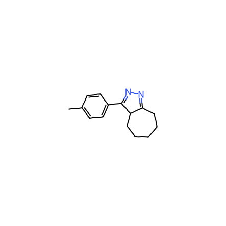 Cc1ccc(C2=NN=C3CCCCCC32)cc1